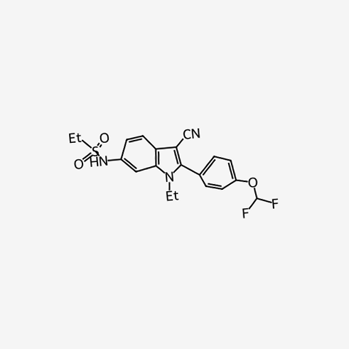 CCn1c(-c2ccc(OC(F)F)cc2)c(C#N)c2ccc(NS(=O)(=O)CC)cc21